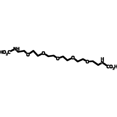 O=C(O)NCCOCCOCCOCCOCCOCCNC(=O)O